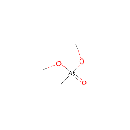 CO[As](C)(=O)OC